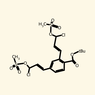 CC(C)(C)OC(=O)c1ccc(C=CC(Cl)OS(C)(=O)=O)cc1C=CC(Cl)OS(C)(=O)=O